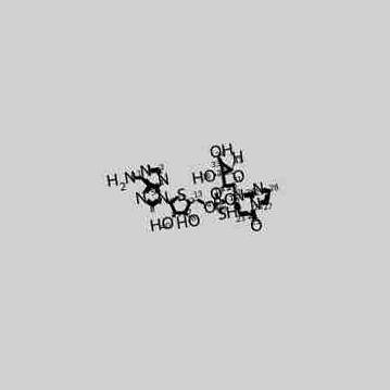 Nc1ncnc2c1ncn2[C@@H]1S[C@H](CO[P@](=O)(S)O[C@H]2[C@H](n3ccc(=O)n4ccnc34)O[C@@H]3C(O)[C@@]32O)[C@@H](O)[C@H]1O